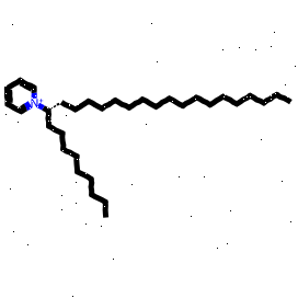 CCCCCCCCCCCCCCCCCC[C@H](CCCCCCCCC)[n+]1ccccc1